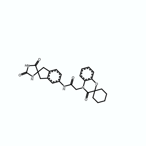 O=C(CN1C(=O)C2(CCCCC2)Oc2ccccc21)Nc1ccc2c(c1)CC1(C2)NC(=O)NC1=O